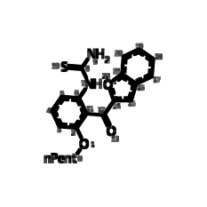 CCCCCOc1cccc(NC(N)=S)c1C(=O)c1cc2ccccc2o1